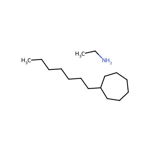 CCCCCCCC1CCCCCC1.CCN